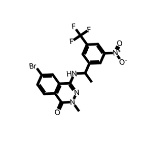 CC(Nc1nn(C)c(=O)c2ccc(Br)cc12)c1cc([N+](=O)[O-])cc(C(F)(F)F)c1